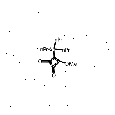 CC[CH2][Sn]([CH2]CC)([CH2]CC)[c]1c(OC)c(=O)c1=O